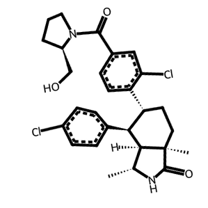 C[C@H]1NC(=O)[C@]2(C)CC[C@@H](c3ccc(C(=O)N4CCC[C@@H]4CO)cc3Cl)[C@H](c3ccc(Cl)cc3)[C@H]12